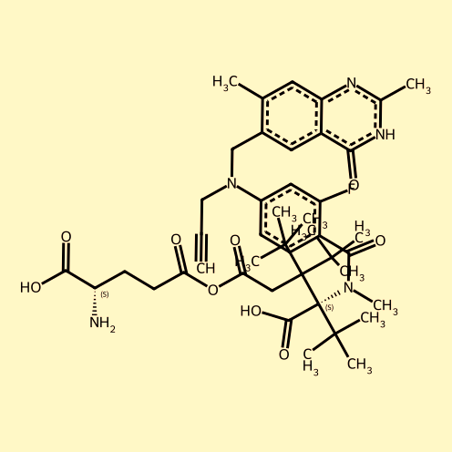 C#CCN(Cc1cc2c(=O)[nH]c(C)nc2cc1C)c1ccc(C(=O)N(C)[C@@](C(=O)O)(C(C)(C)C)C(CC(=O)OC(=O)CC[C@H](N)C(=O)O)(C(C)(C)C)C(C)(C)C)c(F)c1